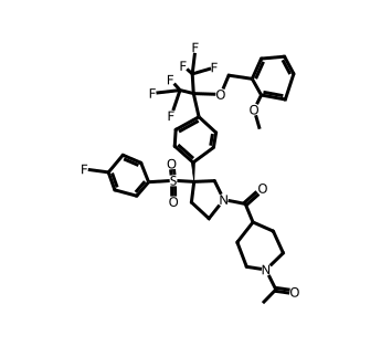 COc1ccccc1COC(c1ccc([C@]2(S(=O)(=O)c3ccc(F)cc3)CCN(C(=O)C3CCN(C(C)=O)CC3)C2)cc1)(C(F)(F)F)C(F)(F)F